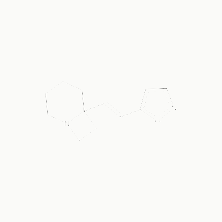 C(=C\C12CCCCN1CC2)/c1ccno1